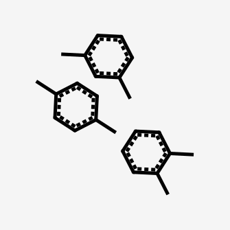 Cc1ccc(C)cc1.Cc1cccc(C)c1.Cc1ccccc1C